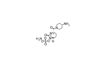 NOS(=O)(=O)ON1C(=O)N2C[C@H]1CC[C@H]2C(=O)N1CCC(N)CC1